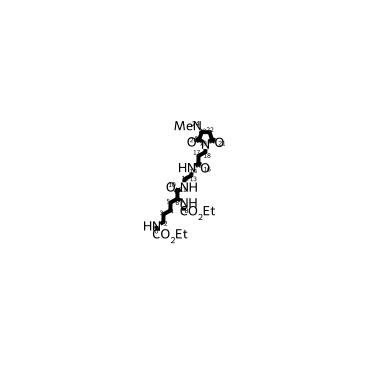 CCOC(=O)NCCCCC(NC(=O)OCC)C(=O)NCCNC(=O)CCN1C(=O)CC(NC)C1=O